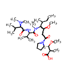 CCC(C)C(C(CC(=O)N1CCC[C@H]1C(OC)C(C)C(=O)O)OC)N(C)C(=O)C(NC(=O)C(C(C)C)N(C)C)C(C)C